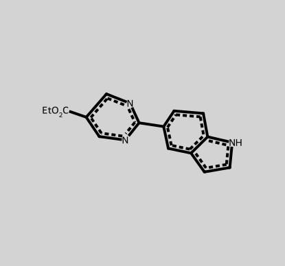 CCOC(=O)c1cnc(-c2ccc3[nH]ccc3c2)nc1